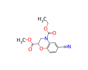 CCOC(=O)N1CC(C(=O)OC)Oc2ccc(C#N)cc21